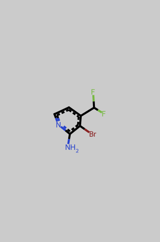 Nc1nccc(C(F)F)c1Br